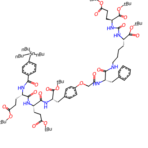 CCC[CH2][Sn]([CH2]CCC)([CH2]CCC)[c]1ccc(C(=O)N[C@@H](CCC(=O)OC(C)(C)C)C(=O)N[C@@H](CCC(=O)OC(C)(C)C)C(=O)N[C@@H](Cc2ccc(OCC(=O)N[C@@H](Cc3ccccc3)C(=O)NCCCC[C@H](NC(=O)N[C@@H](CCC(=O)OC(C)(C)C)C(=O)OC(C)(C)C)C(=O)OC(C)(C)C)cc2)C(=O)OC(C)(C)C)cc1